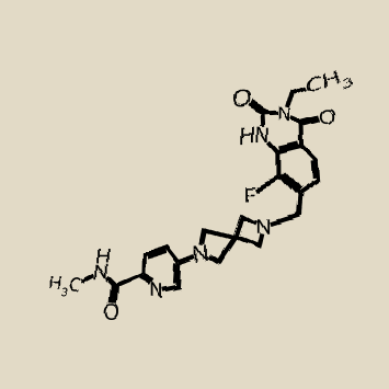 CCn1c(=O)[nH]c2c(F)c(CN3CC4(C3)CN(c3ccc(C(=O)NC)nc3)C4)ccc2c1=O